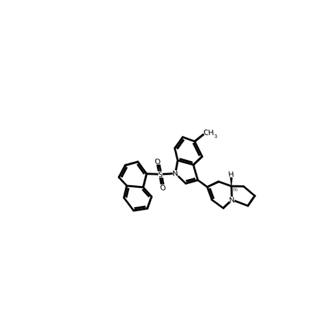 Cc1ccc2c(c1)c(C1=CCN3CCC[C@H]3C1)cn2S(=O)(=O)c1cccc2ccccc12